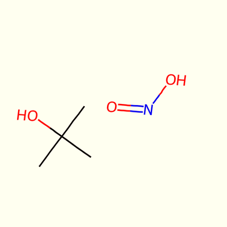 CC(C)(C)O.O=NO